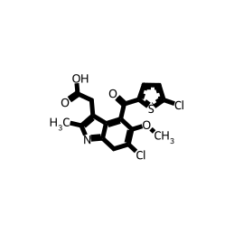 COC1=C(Cl)CC2=NC(C)=C(CC(=O)O)C2=C1C(=O)c1ccc(Cl)s1